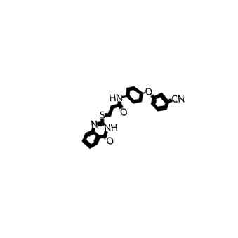 N#Cc1cccc(O[C@H]2CC[C@H](NC(=O)CCSc3nc4ccccc4c(=O)[nH]3)CC2)c1